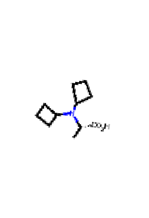 C[C@@H](C(=O)O)N(C1CCC1)C1CCC1